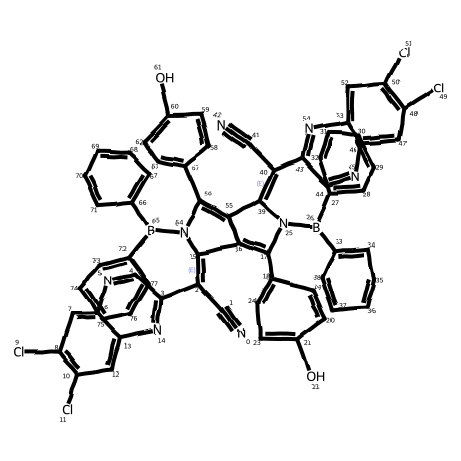 N#C/C(c1cnc2cc(Cl)c(Cl)cc2n1)=c1\c2c(-c3ccc(O)cc3)n(B(c3ccccc3)c3ccccc3)/c(=C(/C#N)c3cnc4cc(Cl)c(Cl)cc4n3)c2c(-c2ccc(O)cc2)n1B(c1ccccc1)c1ccccc1